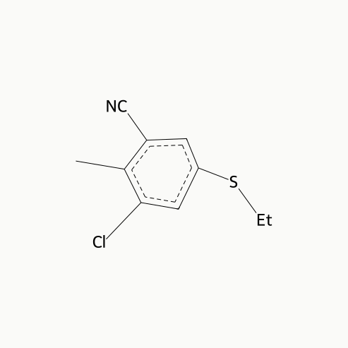 CCSc1cc(Cl)c(C)c(C#N)c1